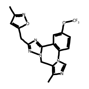 Cc1cc(Cc2nc3n(n2)Cc2c(C)ncn2-c2ccc(OC(F)(F)F)cc2-3)on1